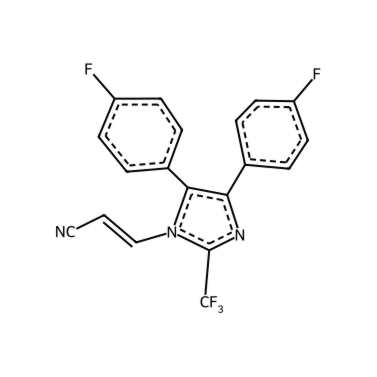 N#CC=Cn1c(C(F)(F)F)nc(-c2ccc(F)cc2)c1-c1ccc(F)cc1